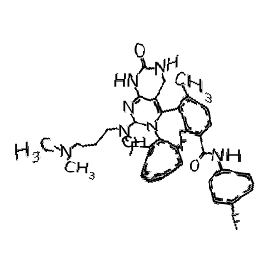 Cc1ccc(C(=O)Nc2ccc(F)cc2)cc1C1=C2CNC(=O)NC2=NC(N(C)CCCN(C)C)N1c1c(F)cccc1F